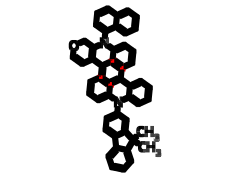 CC1(C)c2ccccc2-c2ccc(N(c3ccccc3)c3ccccc3-c3ccc(C4=C(N(c5ccccc5)c5cccc6ccccc56)COC=C4)cc3)cc21